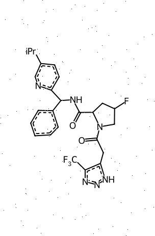 CC(C)c1ccc(C(NC(=O)C2CC(F)CN2C(=O)Cc2[nH]nnc2C(F)(F)F)c2ccccc2)nc1